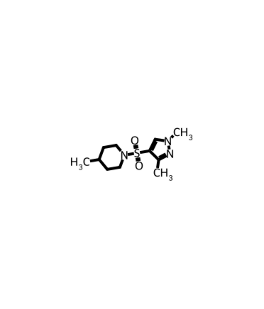 Cc1nn(C)cc1S(=O)(=O)N1CCC(C)CC1